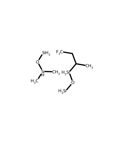 CC(CC(F)(F)F)[SiH2]O[SiH3].C[SiH](C)O[SiH3]